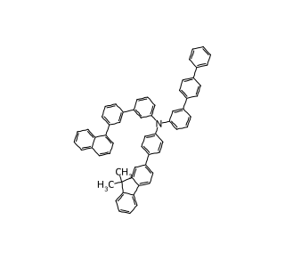 CC1(C)c2ccccc2-c2ccc(-c3ccc(N(c4cccc(-c5ccc(-c6ccccc6)cc5)c4)c4cccc(-c5cccc(-c6cccc7ccccc67)c5)c4)cc3)cc21